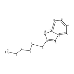 SCCCCCc1nc2ccccc2o1